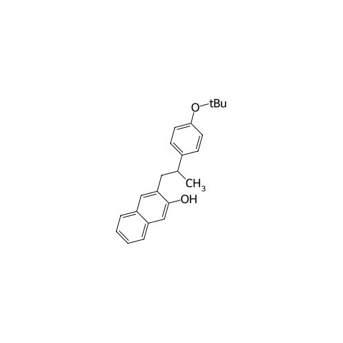 CC(Cc1cc2ccccc2cc1O)c1ccc(OC(C)(C)C)cc1